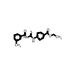 CCOC(=O)c1ccc(NC(=S)NC(=O)c2cccc(C)c2)cc1